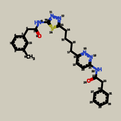 Cc1cccc(CC(=O)Nc2nnc(CCCCc3ccc(NC(=O)Cc4ccccc4)nn3)s2)c1